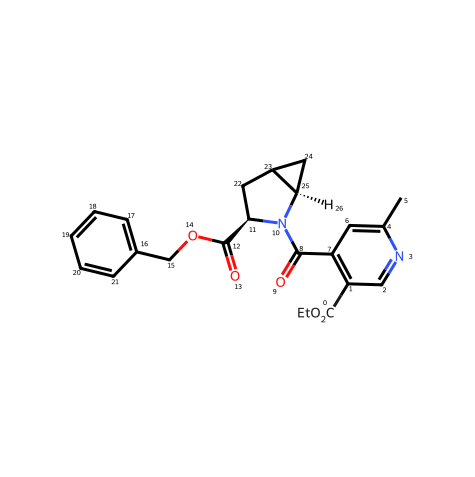 CCOC(=O)c1cnc(C)cc1C(=O)N1[C@@H](C(=O)OCc2ccccc2)CC2C[C@H]21